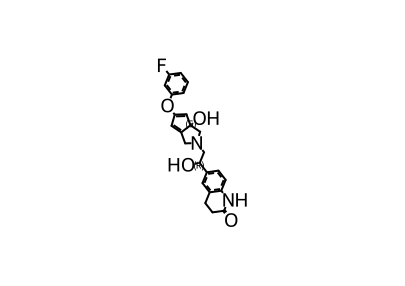 O=C1CCc2cc([C@@H](O)CN3CC4=CC(Oc5cccc(F)c5)=C[C@@]4(O)C3)ccc2N1